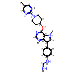 Cc1cnc(N2CCC(Oc3ncnc4c(-c5ccc(NC=N)cc5)cn(C)c34)CC2)nc1